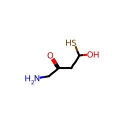 NCC(=O)CC(O)S